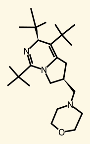 CC(C)(C)C1=N[C@@H](C(C)(C)C)C(C(C)(C)C)=C2C[C@@H](CN3CCOCC3)CN12